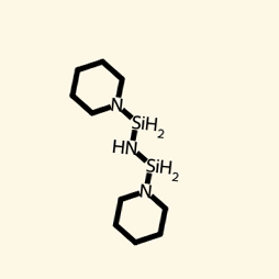 C1CCN([SiH2]N[SiH2]N2CCCCC2)CC1